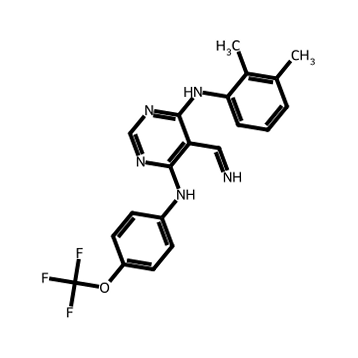 Cc1cccc(Nc2ncnc(Nc3ccc(OC(F)(F)F)cc3)c2C=N)c1C